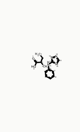 CCC(C)C(=O)O.c1ccc(Nc2nnc[se]2)cc1